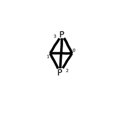 C12C3P1P23